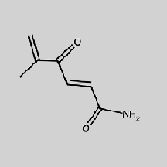 C=C(C)C(=O)C=CC(N)=O